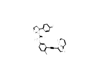 Cc1ccc(NC(=O)N2N=CCC2c2ccc(F)cc2)cc1C#Cc1cnc2cccnn12